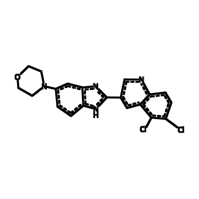 Clc1ccc2ncc(-c3nc4cc(N5CCOCC5)ccc4[nH]3)cc2c1Cl